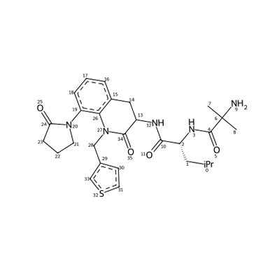 CC(C)C[C@@H](NC(=O)C(C)(C)N)C(=O)NC1Cc2cccc(N3CCCC3=O)c2N(Cc2ccsc2)C1=O